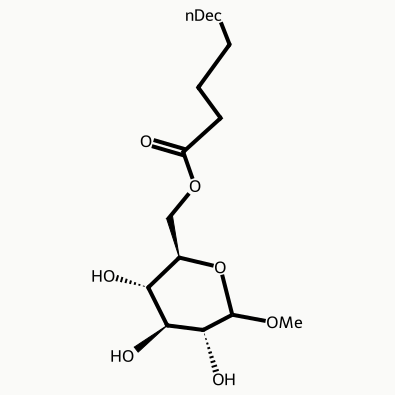 CCCCCCCCCCCCCC(=O)OC[C@H]1OC(OC)[C@H](O)[C@@H](O)[C@@H]1O